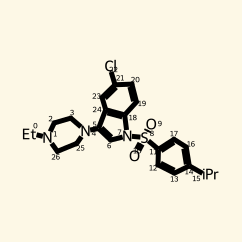 CCN1CCN(c2cn(S(=O)(=O)c3ccc(C(C)C)cc3)c3ccc(Cl)cc23)CC1